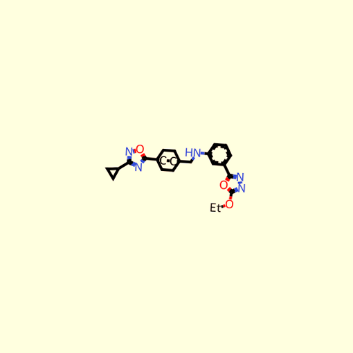 CCOc1nnc(-c2cccc(NCC34CCC(c5nc(C6CC6)no5)(CC3)CC4)c2)o1